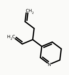 C=CCC(C=C)C1=CCCN=C1